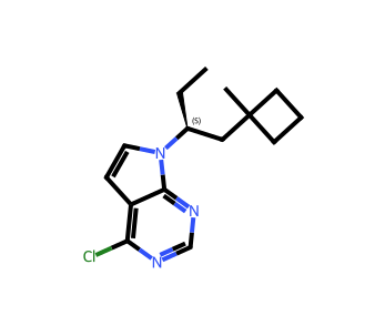 CC[C@@H](CC1(C)CCC1)n1ccc2c(Cl)ncnc21